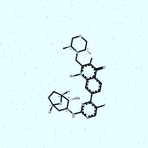 Cc1c(CN2[C@@H](C)COC[C@@H]2C)n(C(C)C)c2cc(-c3nc(N[C@H]4C[C@@H]5CC[C@@H](O5)[C@@H]4O)ncc3F)ccc2c1=O